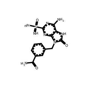 CCCS(=N)(=O)c1nc(N)c2[nH]c(=O)n(Cc3cccc(C(N)=O)c3)c2n1